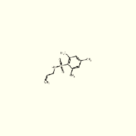 C=CCNS(=O)(=O)c1c(C)cc(C)cc1C